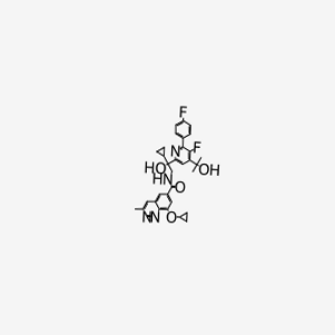 Cc1cc2cc(C(=O)NCC(O)(c3cc(C(C)(C)O)c(F)c(-c4ccc(F)cc4)n3)C3CC3)cc(OC3CC3)c2nn1